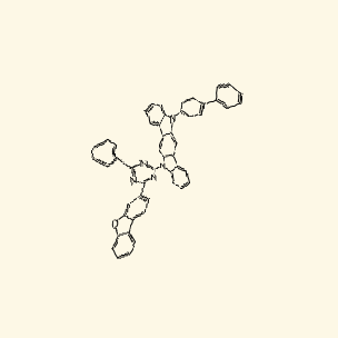 c1ccc(-c2ccc(-n3c4ccccc4c4cc5c(cc43)c3ccccc3n5-c3nc(-c4ccccc4)nc(-c4ccc5c(c4)oc4ccccc45)n3)cc2)cc1